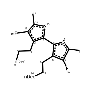 CCCCCCCCCCCCc1c(-c2sc(C)c(F)c2CCCCCCCCCCCC)sc(C)c1F